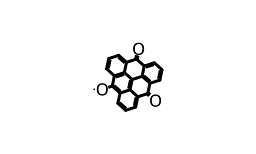 [O]c1c2cccc3c(=O)c4cccc5c4-c(c23)c2c1cccc2c5=O